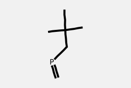 C=PCC(C)(C)C